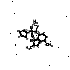 CCN(c1ccc(C)c2cc(C)[nH]c12)S(=O)(=O)c1cccs1